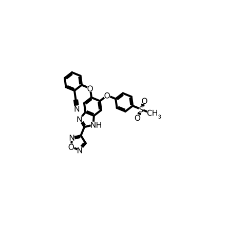 CS(=O)(=O)c1ccc(Oc2cc3[nH]c(-c4cnon4)nc3cc2Oc2ccccc2C#N)cc1